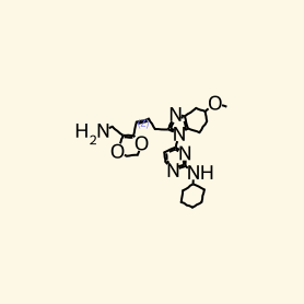 COC1CCc2c(nc(C/C=C\C3=C(CN)OCCO3)n2-c2ccnc(NC3CCCCC3)n2)C1